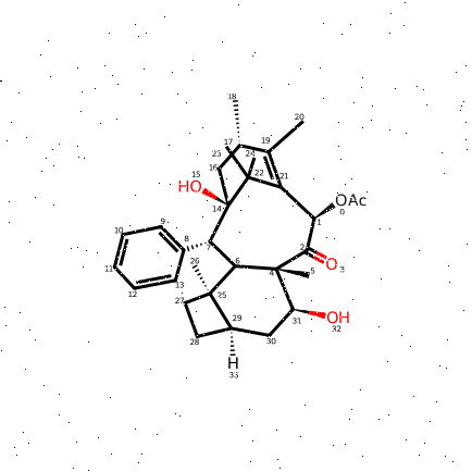 CC(=O)O[C@H]1C(=O)[C@@]2(C)C([C@H](c3ccccc3)[C@]3(O)C[C@H](C)C(C)=C1C3(C)C)[C@]1(C)CC[C@@H]1C[C@@H]2O